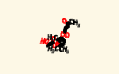 CC(=O)CCC(=O)OC1CC2CC(OC(=O)CO)C1(C)OC2(C)C